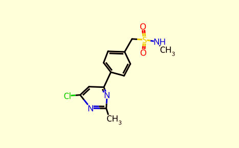 CNS(=O)(=O)Cc1ccc(-c2cc(Cl)nc(C)n2)cc1